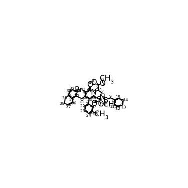 COC(=O)C1CN(B(C)Cc2ccccc2)S(=O)(=O)c2c(-c3cccc(C)c3)c(Cc3cccc4c3C=CCC4)c(Br)c(=O)n21